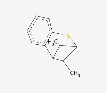 CC1C2Sc3ccccc3C1C2C